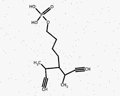 C#CC(C)C(CCCCOP(=O)(O)O)C(C)C#C